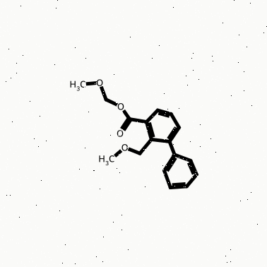 COCOC(=O)c1cccc(-c2ccccc2)c1COC